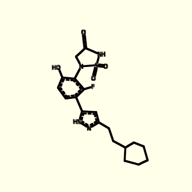 O=C1CN(c2c(O)ccc(-c3cc(CCC4CCCCC4)n[nH]3)c2F)S(=O)(=O)N1